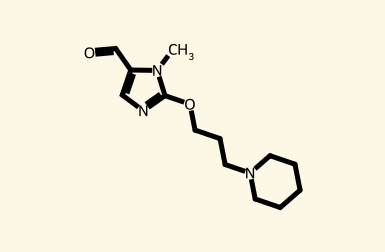 Cn1c(C=O)cnc1OCCCN1CCCCC1